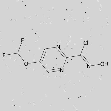 ON=C(Cl)c1ncc(OC(F)F)cn1